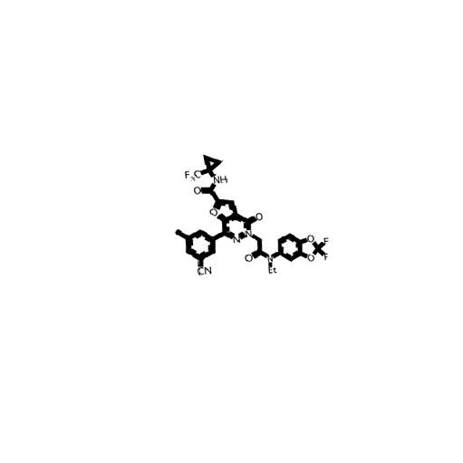 CCN(C(=O)Cn1nc(-c2cc(C)cc(C#N)c2)c2oc(C(=O)NC3(C(F)(F)F)CC3)cc2c1=O)c1ccc2c(c1)OC(F)(F)O2